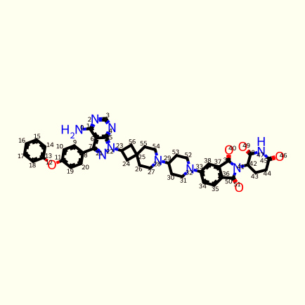 Nc1ncnc2c1c(-c1ccc(Oc3ccccc3)cc1)nn2C1CC2(CCN(C3CCN(c4ccc5c(c4)C(=O)N(C4CCC(=O)NC4=O)C5=O)CC3)CC2)C1